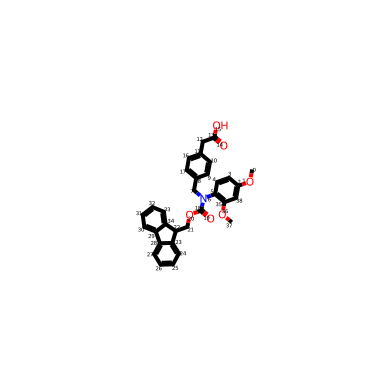 COc1ccc(N(Cc2ccc(CC(=O)O)cc2)C(=O)OCC2c3ccccc3-c3ccccc32)c(OC)c1